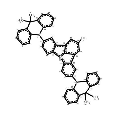 CC1(C)c2ccccc2N(c2ccc3c(c2)c2cc(C#N)cc4c5cc(N6c7ccccc7C(C)(C)c7ccccc76)ccc5n3c24)c2ccccc21